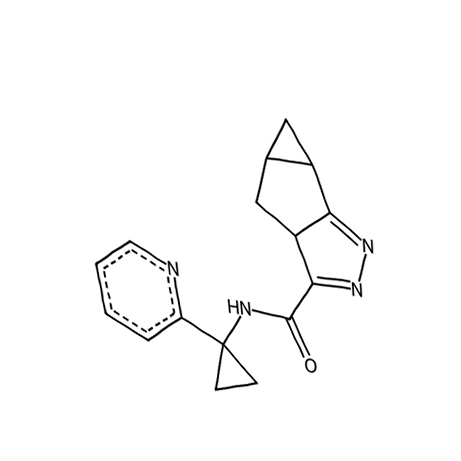 O=C(NC1(c2ccccn2)CC1)C1=NN=C2C1CC1CC21